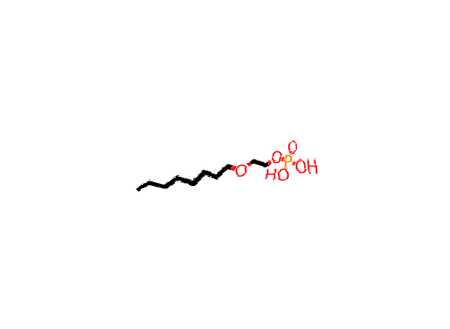 CCCCCCCCOCCOP(=O)(O)O